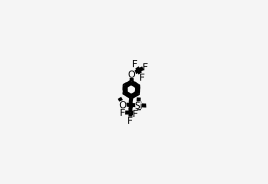 COC(c1ccc(OC(F)(F)F)cc1)(C(F)(F)F)[Si](C)(C)C